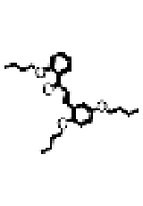 CCCCOc1ccc(OCCCC)c(C=CC(=O)c2ccccc2OCCCC)c1